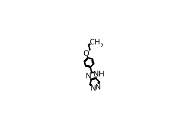 C=CCOc1ccc(-c2nc3cnncc3[nH]2)cc1